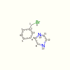 BrCc1ccccc1.c1cnccn1